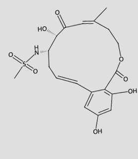 C/C1=C/C(=O)[C@@H](O)[C@@H](NS(C)(=O)=O)C/C=C/c2cc(O)cc(O)c2C(=O)OCC1